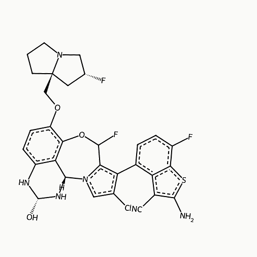 N#Cc1c(N)sc2c(F)ccc(-c3c(Cl)cn4c3C(F)Oc3c(OC[C@@]56CCCN5C[C@H](F)C6)ccc5c3[C@H]4N[C@H](O)N5)c12